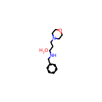 O.c1ccc(CNCCCN2CCOCC2)cc1